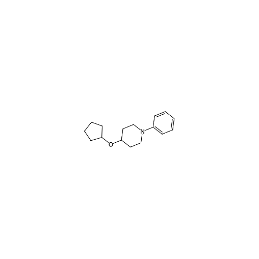 c1ccc(N2CCC(OC3CCCC3)CC2)cc1